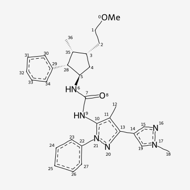 COCC[C@@H]1C[C@@H](NC(=O)Nc2c(C)c(-c3cnn(C)c3)nn2-c2ccccc2)[C@H](c2ccccc2)[C@@H]1C